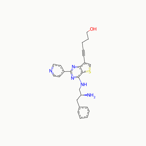 N[C@H](CNc1nc(-c2ccncc2)nc2c(C#CCCCO)csc12)Cc1ccccc1